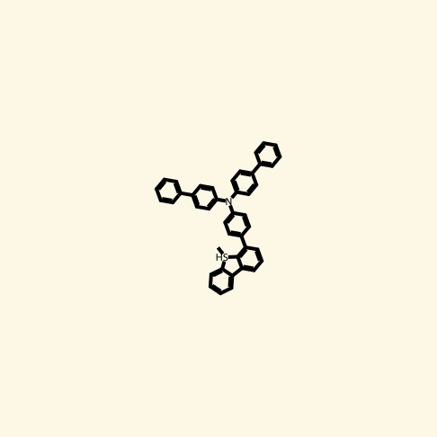 C[SH]1c2ccccc2-c2cccc(-c3ccc(N(c4ccc(-c5ccccc5)cc4)c4ccc(-c5ccccc5)cc4)cc3)c21